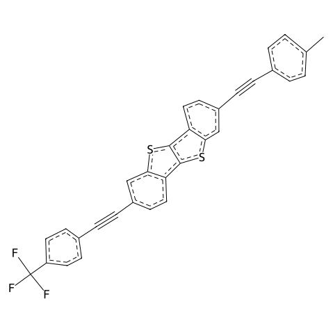 Cc1ccc(C#Cc2ccc3c(c2)sc2c4ccc(C#Cc5ccc(C(F)(F)F)cc5)cc4sc32)cc1